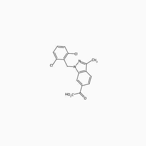 Cc1nn(Cc2c(Cl)cccc2Cl)c2cc(C(=O)C(=O)O)ccc12